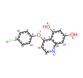 Oc1cc(O)c2c(Oc3ccc(F)cc3)ccnc2c1